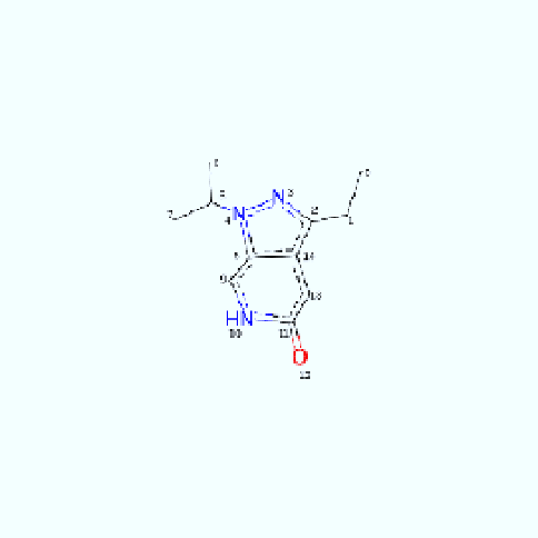 CCc1nn(C(C)C)c2c[nH]c(=O)cc12